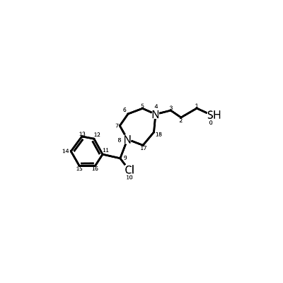 SCCCN1CCCN(C(Cl)c2ccccc2)CC1